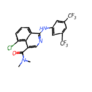 CN(C)C(=O)c1cnc(Nc2cc(C(F)(F)F)cc(C(F)(F)F)c2)c2cccc(Cl)c12